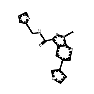 Cn1nc(C(=O)NCc2cccs2)c2cc(-c3ccoc3)cnc21